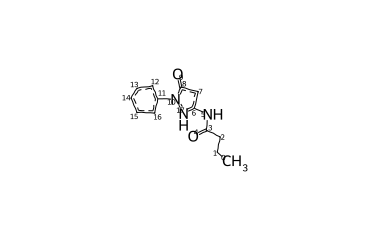 CCCC(=O)Nc1cc(=O)n(-c2ccccc2)[nH]1